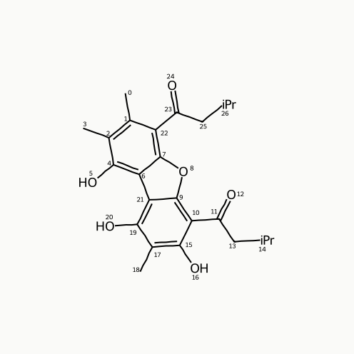 Cc1c(C)c(O)c2c(oc3c(C(=O)CC(C)C)c(O)c(C)c(O)c32)c1C(=O)CC(C)C